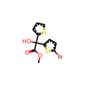 COC(=O)C(O)(c1cccs1)c1ccc(Br)s1